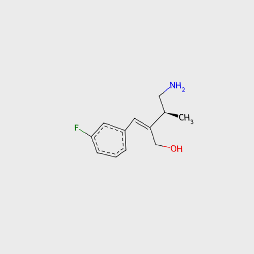 C[C@H](CN)C(=Cc1cccc(F)c1)CO